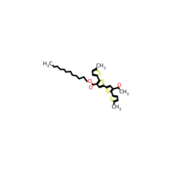 CCCCCCCCCCCCOC(=O)c1cc(-c2cc(C(C)=O)c(-c3ccc(C)s3)s2)sc1-c1ccc(C)s1